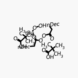 CC(C)(C)C(=O)O.CC(C)(C)C(=O)O.CC(C)(C)OO.CCCCCCCCCCCC(=O)OOC(=O)CCCCCCCCCCC